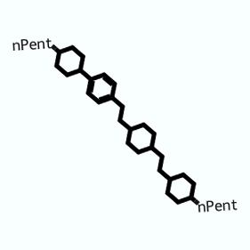 CCCCCC1CCC(CCC2CCC(CCc3ccc(C4CCC(CCCCC)CC4)cc3)CC2)CC1